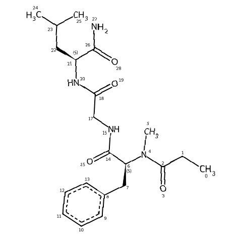 CCC(=O)N(C)[C@@H](Cc1ccccc1)C(=O)NCC(=O)N[C@@H](CC(C)C)C(N)=O